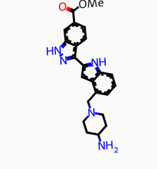 COC(=O)c1ccc2c(-c3cc4c(CN5CCC(N)CC5)cccc4[nH]3)n[nH]c2c1